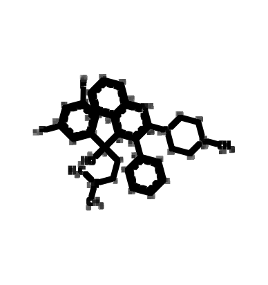 CN(C)CCC(O)(c1cc(F)cc(F)c1)c1c(-c2ccccc2)c(N2CCN(C)CC2)nc2ccccc12